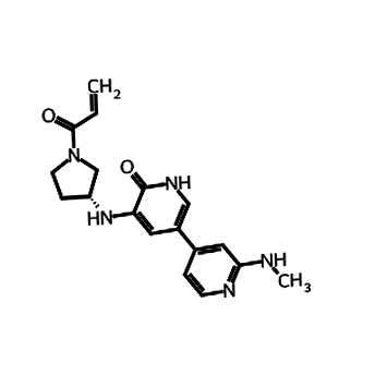 C=CC(=O)N1CC[C@@H](Nc2cc(-c3ccnc(NC)c3)c[nH]c2=O)C1